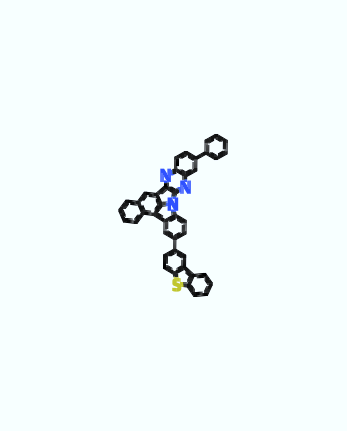 c1ccc(-c2ccc3nc4c5cc6ccccc6c6c7cc(-c8ccc9sc%10ccccc%10c9c8)ccc7n(c4nc3c2)c56)cc1